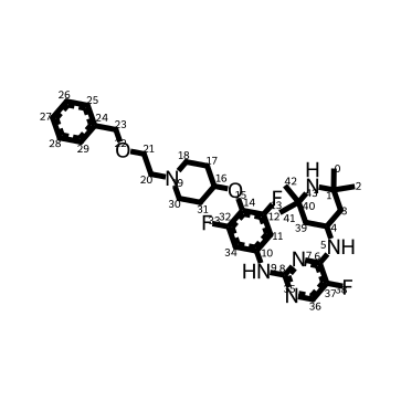 CC1(C)CC(Nc2nc(Nc3cc(F)c(OC4CCN(CCOCc5ccccc5)CC4)c(F)c3)ncc2F)CC(C)(C)N1